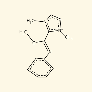 CO/C(=N\c1ccccc1)c1n(C)cc[n+]1C